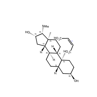 CN[C@H]1[C@@H](O)C[C@H]2[C@@H]3CC[C@H]4C[C@H](O)CC[C@]4(C)[C@H]3CC[C@@]21C.O=C(O)/C=C\C(=O)O